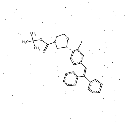 CC(C)(C)OC(=O)N1CCO[C@H](c2ccc(N=C(c3ccccc3)c3ccccc3)cc2F)C1